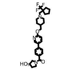 O=C(c1ccc(-c2ccc(OCC3CCN(CC4(C(F)(F)F)CCCC4)CC3)nc2)cc1)N1CC[C@H](O)C1